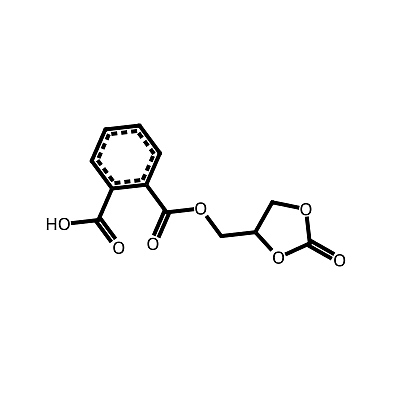 O=C1OCC(COC(=O)c2ccccc2C(=O)O)O1